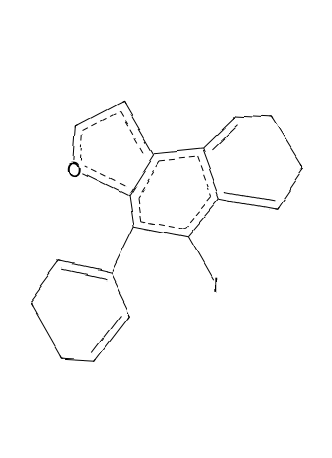 Ic1c(C2=CCCC=C2)c2occc2c2c1=CCCC=2